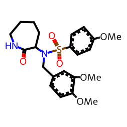 COc1ccc(S(=O)(=O)N(Cc2ccc(OC)c(OC)c2)C2CCCCNC2=O)cc1